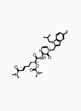 CC(C)Cn1c(Cn2ccnc(NC(=O)[C@H](CC/C=C/C(=O)N(C)C)OC(=O)N(C)C)c2=O)cc2cc(F)ccc21